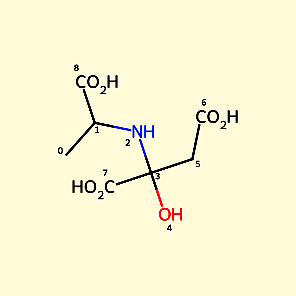 CC(NC(O)(CC(=O)O)C(=O)O)C(=O)O